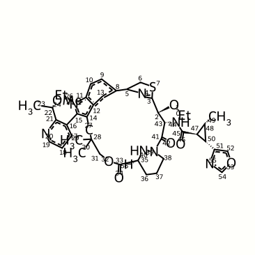 CCO[C@@H]1C2=NC(CS2)c2ccc3c(c2)c(c(-c2cccnc2[C@H](C)OC)n3CC)CC(C)(C)COC(=O)[C@@H]2CCCN(N2)C(=O)[C@H]1NC(=O)[C@H]1[C@H](C)[C@@H]1c1cocn1